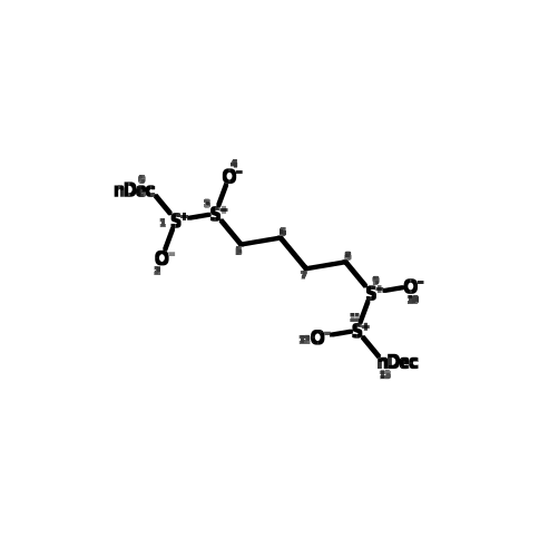 CCCCCCCCCC[S+]([O-])[S+]([O-])CCCC[S+]([O-])[S+]([O-])CCCCCCCCCC